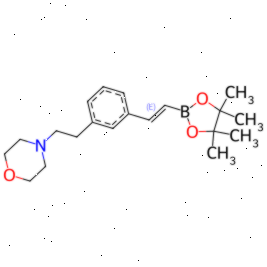 CC1(C)OB(/C=C/c2cccc(CCN3CCOCC3)c2)OC1(C)C